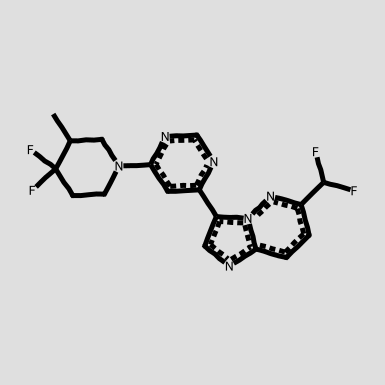 CC1CN(c2cc(-c3cnc4ccc(C(F)F)nn34)ncn2)CCC1(F)F